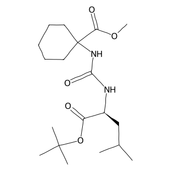 COC(=O)C1(NC(=O)N[C@@H](CC(C)C)C(=O)OC(C)(C)C)CCCCC1